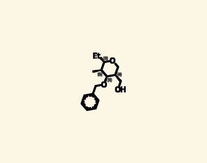 CC[C@H]1OC[C@@H](CO)[C@@H](OCc2ccccc2)[C@H]1C